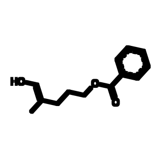 CC(=CO)CCCOC(=O)c1ccccc1